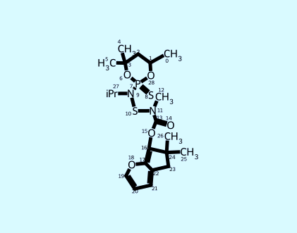 CC1CC(C)(C)OP(=S)(N(SN(C)C(=O)OC2=C3OC=CC=C3CC2(C)C)C(C)C)O1